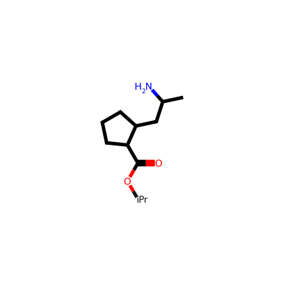 CC(N)CC1CCCC1C(=O)OC(C)C